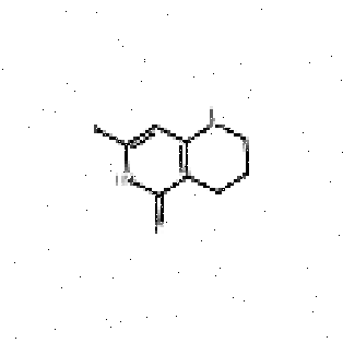 O=c1[nH]c(I)cc2c1CCCN2